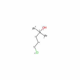 CC(C)[Si](O)(CCCCl)C(C)C